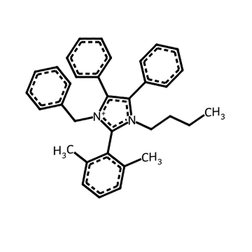 CCCCn1c(-c2ccccc2)c(-c2ccccc2)[n+](Cc2ccccc2)c1-c1c(C)cccc1C